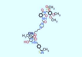 CCOc1cc([C@@H](CS(C)(=O)=O)N2C(=O)c3cccc(NCC(=O)N4CCN(CCCCC(=O)N[C@H](C(=O)N5C[C@H](O)C[C@H]5C(=O)NCc5ccc(-c6scnc6C)cc5)C(C)(C)C)CC4)c3C2=O)ccc1OC